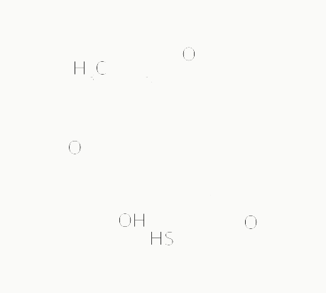 CC(=O)C(CC(=O)S)C(=O)O